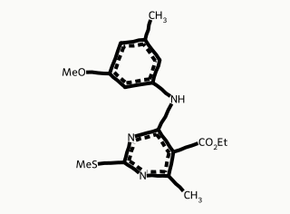 CCOC(=O)c1c(C)nc(SC)nc1Nc1cc(C)cc(OC)c1